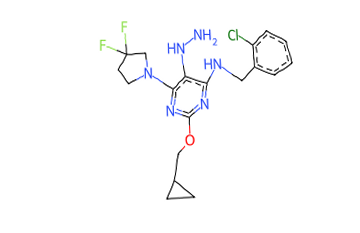 NNc1c(NCc2ccccc2Cl)nc(OCC2CC2)nc1N1CCC(F)(F)C1